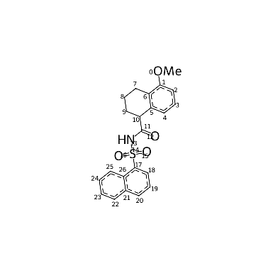 COc1cccc2c1CCCC2C(=O)NS(=O)(=O)c1cccc2ccccc12